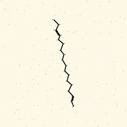 [CH2]C=CCCCCCCCCCCCC=CCC